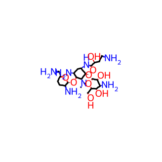 CN(C)C1C(O[C@H]2O[C@H](CN)CCC2N)[C@@H](N)C[C@@H](NC(=O)[C@@H](O)CCN)[C@@H]1O[C@H]1OC(CO)[C@@H](O)[C@H](N)C1O